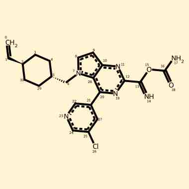 C=C[C@H]1CC[C@H](Cn2ccc3nc(C(=N)OC(N)=O)nc(-c4cncc(Cl)c4)c32)CC1